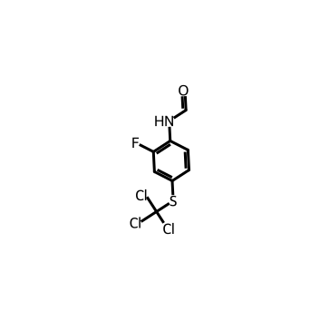 O=CNc1ccc(SC(Cl)(Cl)Cl)cc1F